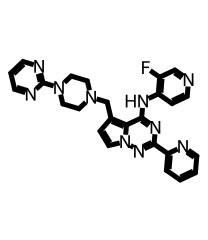 Fc1cnccc1Nc1nc(-c2ccccn2)nn2ccc(CN3CCN(c4ncccn4)CC3)c12